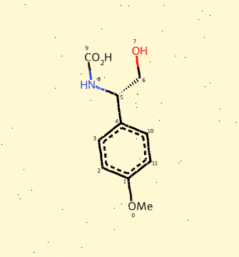 COc1ccc([C@@H](CO)NC(=O)O)cc1